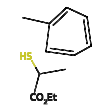 CCOC(=O)C(C)S.Cc1ccccc1